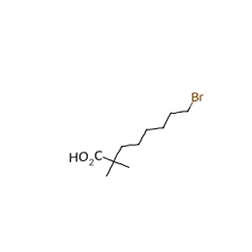 CC(C)(CCCCCCBr)C(=O)O